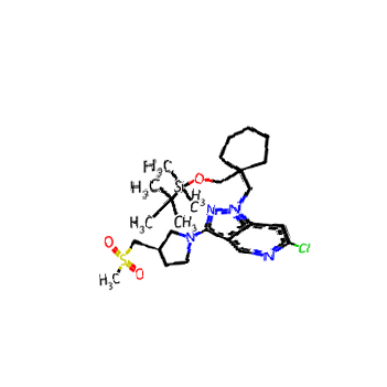 CC(C)(C)[Si](C)(C)OCC1(Cn2nc(N3CC[C@@H](CS(C)(=O)=O)C3)c3cnc(Cl)cc32)CCCCC1